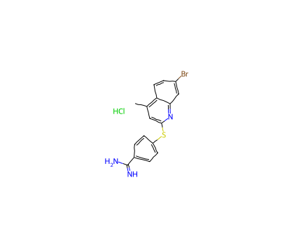 Cc1cc(Sc2ccc(C(=N)N)cc2)nc2cc(Br)ccc12.Cl